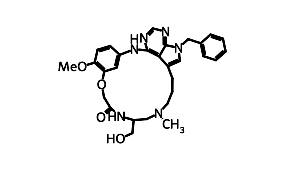 COc1ccc2cc1OCC(=O)NC(CO)CN(C)CCCc1cn(Cc3ccccc3)c3ncnc(c13)N2